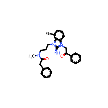 CCc1cccc2c1n(CCCN(C)C(=O)Cc1ccccc1)c(=N)n2CC(=O)c1ccccc1